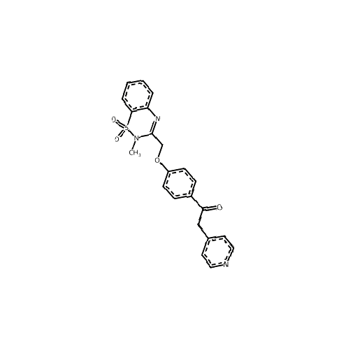 CN1C(COc2ccc(C(=O)Cc3ccncc3)cc2)=Nc2ccccc2S1(=O)=O